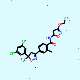 Cc1cc(C2=NOC(c3cc(Cl)cc(Cl)c3)(C(F)(F)F)C2)ccc1C(=O)NC1CC(OCC(F)(F)F)=NO1